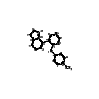 FC(F)(F)c1ccc(Oc2ncncc2-c2cccc3ccnn23)cc1